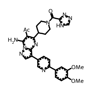 COc1ccc(-c2ccc(-c3cnn4c(N)c(C(C)=O)c(C5CCN(C(=O)c6nnc[nH]6)CC5)nc34)cn2)cc1OC